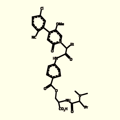 CCC(C(=O)Nc1ccc(C(=O)OCC(NC(=O)C(C(C)C)N(C)C)C(=O)O)cc1)n1cc(OC)c(-c2cc(Cl)ccc2C#N)cc1=O